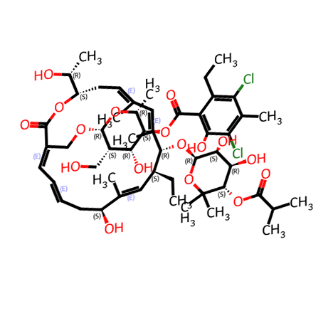 CCc1c(Cl)c(C)c(Cl)c(O)c1C(=O)O[C@H]1[C@H](O)[C@H](CO)[C@H](OC/C2=C\C=C\C[C@H](O)/C(C)=C/[C@H](CC)[C@@H](O[C@@H]3OC(C)(C)[C@@H](OC(=O)C(C)C)[C@H](O)[C@@H]3O)/C(C)=C/C(C)=C/C[C@@H]([C@@H](C)O)OC2=O)O[C@@H]1C